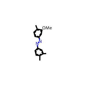 COc1cc(N=Nc2ccc(C)c(C)c2)ccc1C